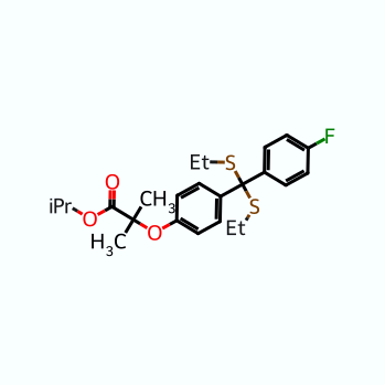 CCSC(SCC)(c1ccc(F)cc1)c1ccc(OC(C)(C)C(=O)OC(C)C)cc1